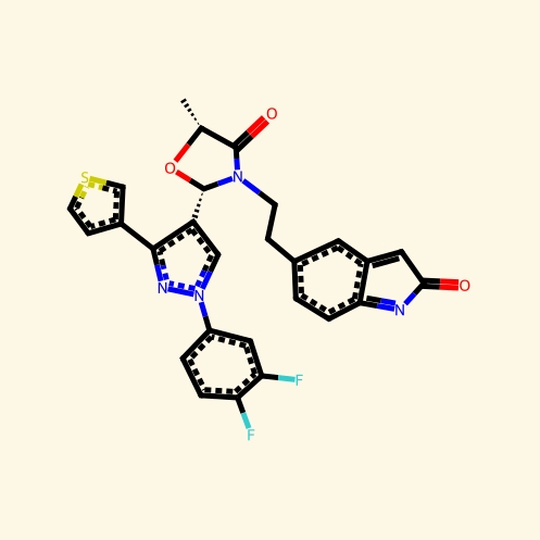 C[C@H]1O[C@@H](c2cn(-c3ccc(F)c(F)c3)nc2-c2ccsc2)N(CCc2ccc3c(c2)=CC(=O)N=3)C1=O